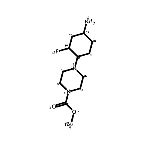 CC(C)(C)OC(=O)N1CCN(C2CCC(N)CC2F)CC1